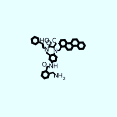 NCc1ccccc1C(=O)Nc1ccc2c(c1)CN(C=Cc1ccccc1)C(=O)C(CC(=O)O)N2Cc1cccc2c1ccc1c3ccccc3ccc21